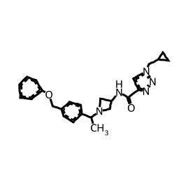 CC(c1ccc(COc2ccccc2)cc1)N1CC(NC(=O)c2cn(CC3CC3)nn2)C1